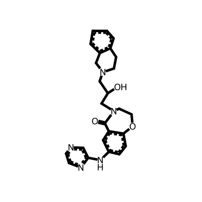 O=C1c2cc(Nc3cnccn3)ccc2OCCN1CC(O)CN1CCc2ccccc2C1